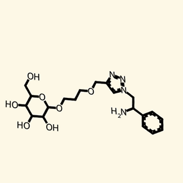 NC(Cn1cc(COCCCOC2OC(CO)C(O)C(O)C2O)nn1)c1ccccc1